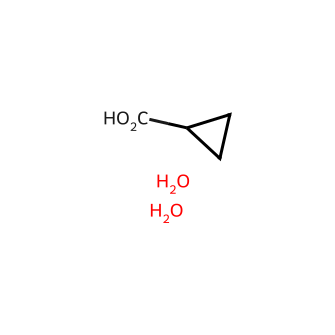 O.O.O=C(O)C1CC1